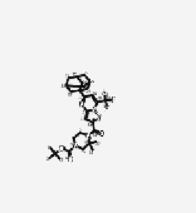 CC(C)(C)OC(=O)N1CCN(C(=O)c2cc3nc(C45CC6CC(CC(C6)C4)C5)cc(C(F)(F)F)n3n2)C(C)(C)C1